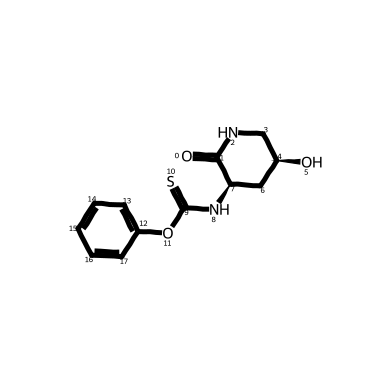 O=C1NC[C@@H](O)C[C@H]1NC(=S)Oc1ccccc1